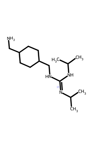 CC(C)/N=C(/NCC1CCC(CN)CC1)NC(C)C